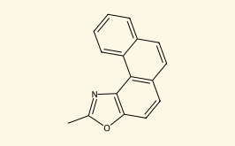 Cc1nc2c(ccc3ccc4ccccc4c32)o1